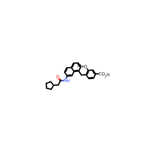 COc1cc(C(=O)O)ccc1Cc1cccc2ccc(NC(=O)CC3CCCC3)cc12